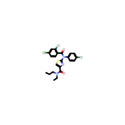 CCCN(CC)C(=O)c1csc(N(C(=O)c2ccc(Cl)cc2Cl)c2ccc(Cl)cc2)n1